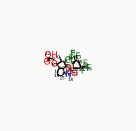 Cc1c(Cl)cc2c(c1OCC(=O)O)CCCC2N(C)S(=O)(=O)c1cc(C(F)(F)F)cc(C(F)(F)F)c1